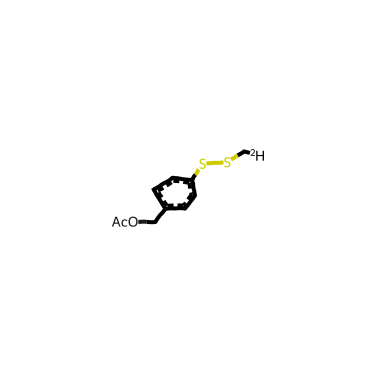 [2H]CSSc1ccc(COC(C)=O)cc1